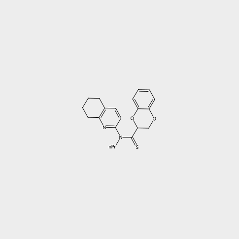 CCCN(C(=S)C1COc2ccccc2O1)c1ccc2c(n1)CCCC2